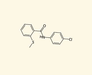 CSc1ccccc1C(=O)Nc1ccc(Cl)cc1